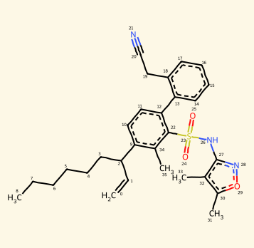 C=CC(CCCCCC)c1ccc(-c2ccccc2CC#N)c(S(=O)(=O)Nc2noc(C)c2C)c1C